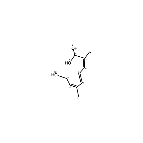 CC(C=CC=C(C)C(O)O)=CCO